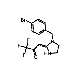 O=C(C=C1NCCN1Cc1ccc(Br)nc1)C(F)(F)F